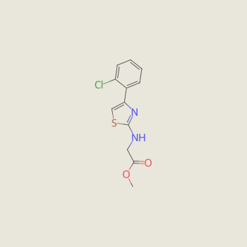 COC(=O)CNc1nc(-c2ccccc2Cl)cs1